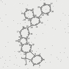 CC1(C)c2ccccc2-c2cc3c(cc21)oc1ccc(-c2ccc(-c4ccccc4)c4ccccc24)cc13